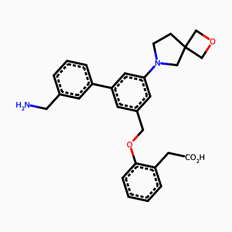 NCc1cccc(-c2cc(COc3ccccc3CC(=O)O)cc(N3CCC4(COC4)C3)c2)c1